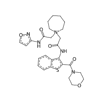 O=C(C[N+]1(CC(=O)Nc2c(C(=O)N3CCOCC3)sc3ccccc23)CCCCCC1)Nc1ccon1